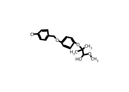 COC(O)C(C)(C)Oc1ccc(OCc2ccc(Cl)cc2)cc1